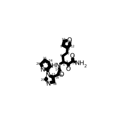 NC(=O)C(=O)C(CCc1ccoc1)NC1OC1c1cncn1-c1ccccn1